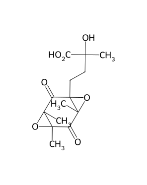 CC(O)(CCC12OC1(C)C(=O)C1(C)OC1(C)C2=O)C(=O)O